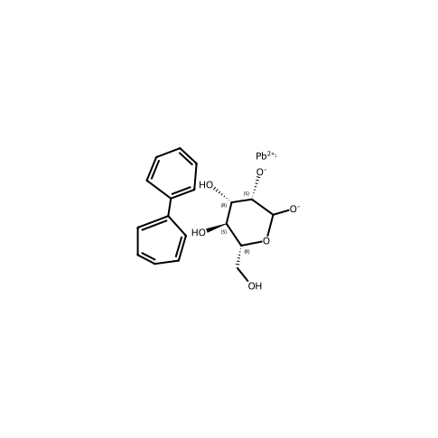 [O-]C1O[C@H](CO)[C@@H](O)[C@H](O)[C@@H]1[O-].[Pb+2].c1ccc(-c2ccccc2)cc1